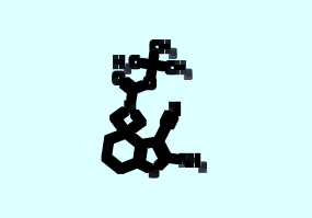 CC(C)(C)OC(=O)N1CC2(CCCc3sc(N)c(C#N)c32)C1